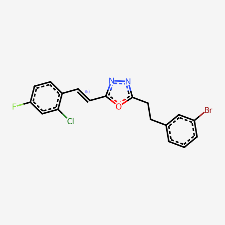 Fc1ccc(/C=C/c2nnc(CCc3cccc(Br)c3)o2)c(Cl)c1